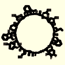 CCCC[C@H]1C(=O)N2C[C@H](O)C[C@@H]2C(=O)N[C@@H](CC(=O)O)C(=O)N[C@@H](C(C)C)C(=O)N(C)[C@@H](Cc2ccccc2)C(=O)N[C@@H](CC(=O)O)C(=O)N2CCOC[C@@H]2C(=O)N[C@@H](Cc2c[nH]c3ccccc23)C(=O)N[C@@H](Cc2ccc(O)cc2)C(=O)N[C@@H](CCO)C(=O)N[C@H](C)CSCC(=O)N[C@@H](Cc2cc(F)c(F)c(F)c2)C(=O)N(C)[C@@H](Cc2ccccc2)C(=O)N1C